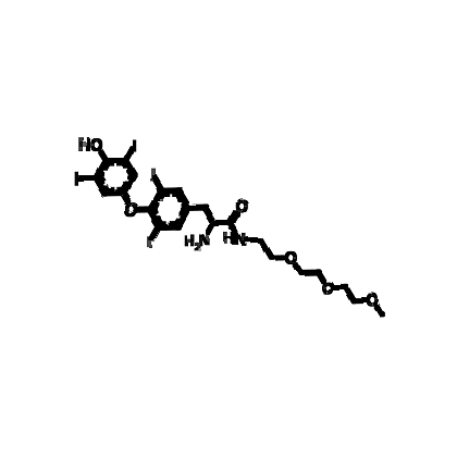 COCCOCCOCCNC(=O)C(N)Cc1cc(I)c(Oc2cc(I)c(O)c(I)c2)c(I)c1